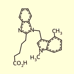 Cc1cccc2c1c(Cn1c(CCCCC(=O)O)nc3ccccc31)cn2C